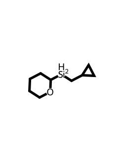 C1CCC([SiH2]CC2CC2)OC1